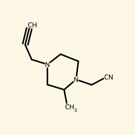 C#CCN1CCN(CC#N)C(C)C1